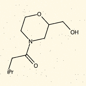 CC(C)CC(=O)N1CCOC(CO)C1